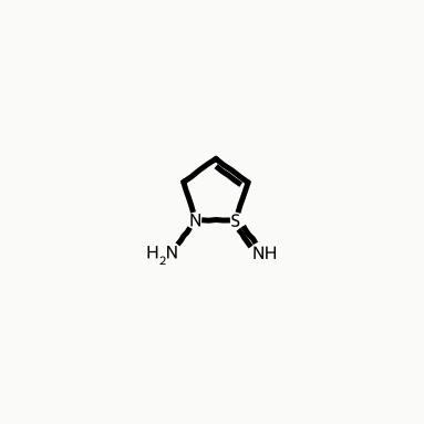 N=S1C=CCN1N